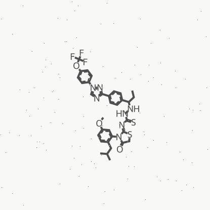 CCC(NNC(=S)/N=C1\SCC(=O)N1c1cc(OC)ccc1CC(C)C)c1ccc(-c2ncn(-c3ccc(OC(F)(F)F)cc3)n2)cc1